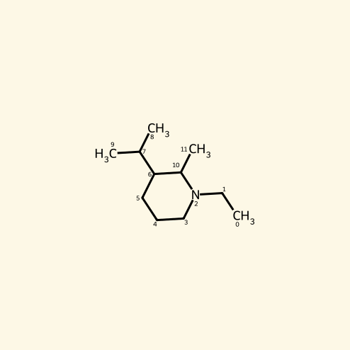 CCN1CCCC(C(C)C)C1C